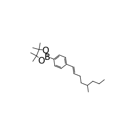 CCCC(C)CC/C=C/c1ccc(B2OC(C)(C)C(C)(C)O2)cc1